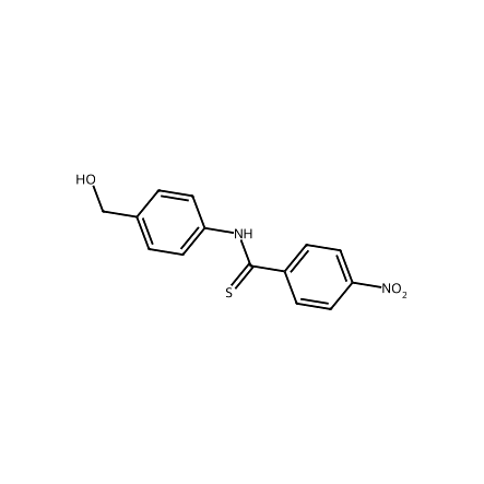 O=[N+]([O-])c1ccc(C(=S)Nc2ccc(CO)cc2)cc1